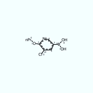 CCCOc1ncc(B(O)O)cc1Cl